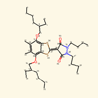 CCCCC(CC)COc1c(C)c(C)c(OCC(CC)CCCC)c2c1SC(=C1C(=O)N(CCCC)N(CCCC)C1=O)S2